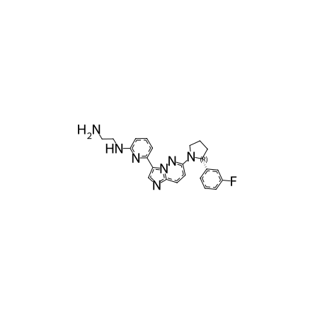 NCCNc1cccc(-c2cnc3ccc(N4CCC[C@@H]4c4cccc(F)c4)nn23)n1